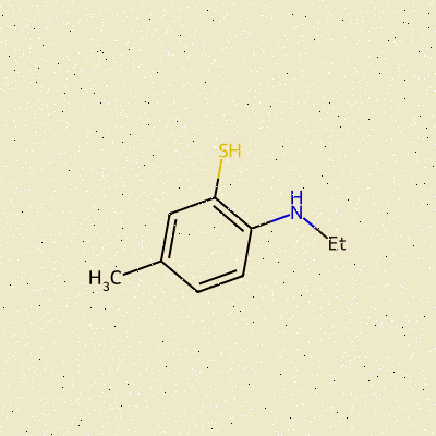 CCNc1ccc(C)cc1S